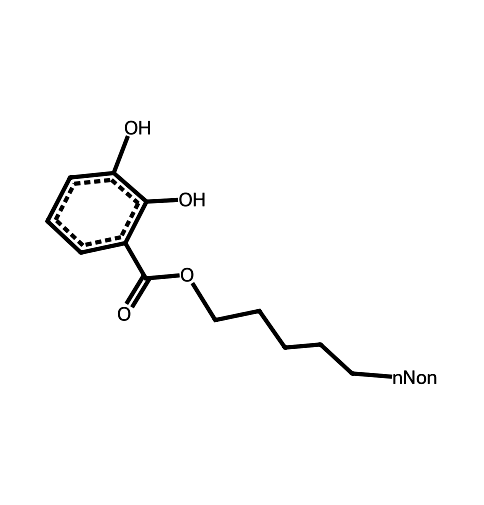 CCCCCCCCCCCCCCOC(=O)c1cccc(O)c1O